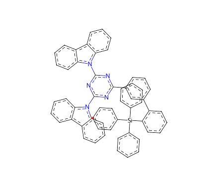 c1ccc([Si](c2ccccc2)(c2ccccc2)c2ccccc2-c2cccc(-c3nc(-n4c5ccccc5c5ccccc54)nc(-n4c5ccccc5c5ccccc54)n3)c2)cc1